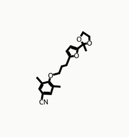 Cc1cc(C#N)cc(C)c1OCCCc1ccc(C2(C)OCCO2)o1